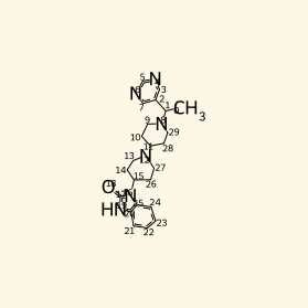 CC(c1cncnc1)N1CCC(N2CCC(n3c(=O)[nH]c4ccccc43)CC2)CC1